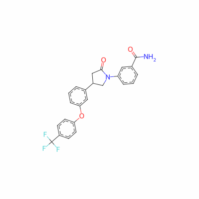 NC(=O)c1cccc(N2CC(c3cccc(Oc4ccc(C(F)(F)F)cc4)c3)CC2=O)c1